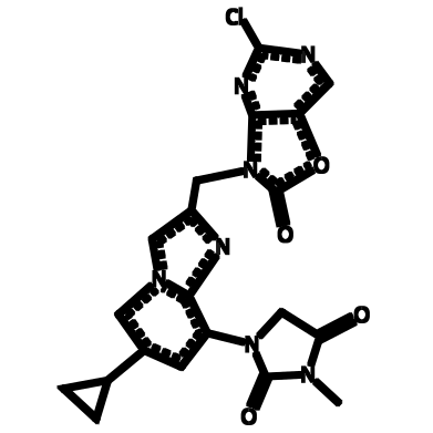 CN1C(=O)CN(c2cc(C3CC3)cn3cc(Cn4c(=O)oc5cnc(Cl)nc54)nc23)C1=O